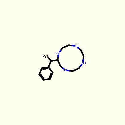 O=[N+]([O-])C(c1ccccc1)C1CNCCNCCNCCN1